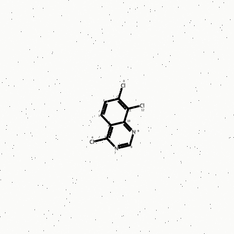 Clc1ccc2c(Cl)ncnc2c1Cl